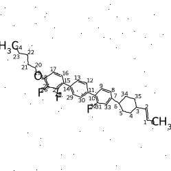 C/C=C/C1CCC(c2ccc(-c3ccc(-c4ccc(OCCCCC)c(F)c4F)cc3)c(F)c2)CC1